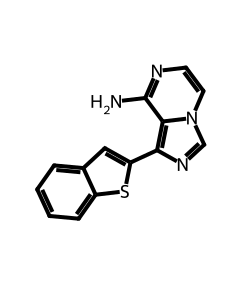 Nc1nccn2cnc(-c3cc4ccccc4s3)c12